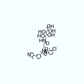 Cc1cnccc1-c1cccc(C(C)(C)N(CCCC(=O)NCC(O)C(O)C(O)C(O)CO)S(=O)(=O)c2cccc(Cl)c2C)c1